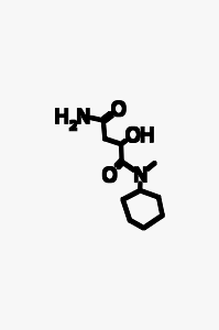 CN(C(=O)C(O)CC(N)=O)C1CCCCC1